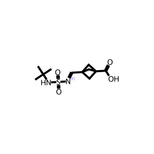 CC(C)(C)NS(=O)(=O)/N=C/C12CC(C(=O)O)(C1)C2